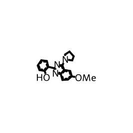 COc1ccc2nc(-c3ccccc3O)nc(N3CCCC3)c2c1